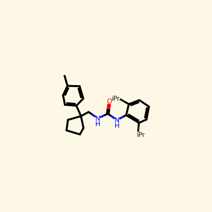 Cc1ccc(C2(CNC(=O)Nc3c(C(C)C)cccc3C(C)C)CCCC2)cc1